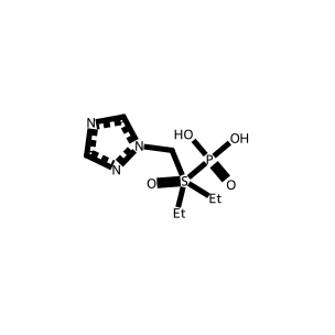 CCS(=O)(CC)(Cn1cncn1)P(=O)(O)O